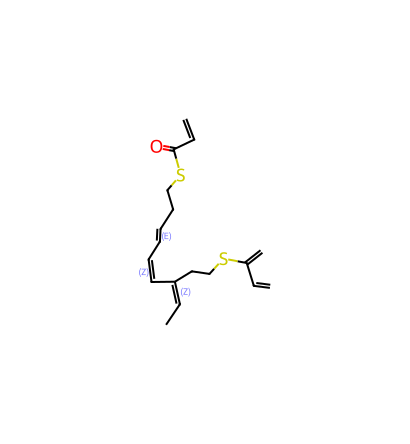 C=CC(=C)SCCC(/C=C\C=C\CCSC(=O)C=C)=C/C